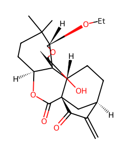 C=C1C(=O)[C@]23C[C@H]1CC[C@H]2[C@@]12C(O)O[C@@H](OCC)[C@@H]1C(C)(C)CC[C@@H]2OC3=O